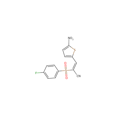 N#C/C(=C/c1ccc([N+](=O)[O-])s1)S(=O)(=O)c1ccc(F)cc1